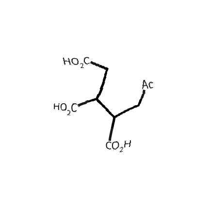 CC(=O)CC(C(=O)O)C(CC(=O)O)C(=O)O